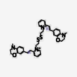 CN1CCOc2cc(/C=C/c3cccc[n+]3CCSSCC[n+]3ccccc3/C=C/c3ccc4c(c3)OCCN4C)ccc21